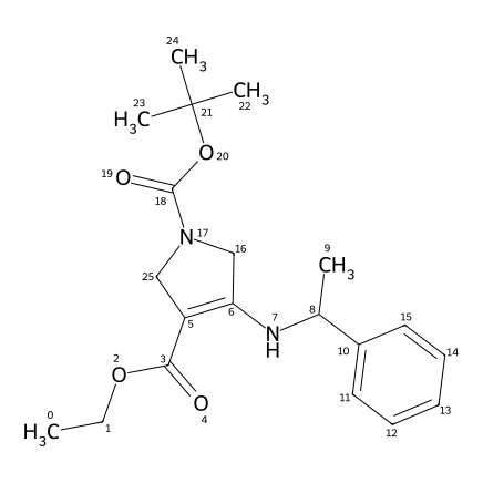 CCOC(=O)C1=C(NC(C)c2ccccc2)CN(C(=O)OC(C)(C)C)C1